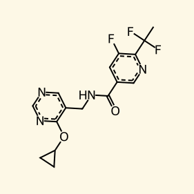 CC(F)(F)c1ncc(C(=O)NCc2cncnc2OC2CC2)cc1F